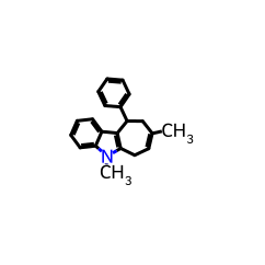 CC1=CCc2c(c3ccccc3n2C)C(c2ccccc2)C1